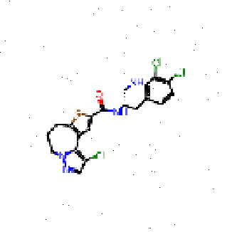 NC[C@H](Cc1ccc(Cl)c(Cl)c1)NC(=O)c1cc2c(s1)CCCn1ncc(Cl)c1-2